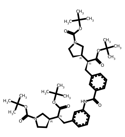 CC(C)(C)OC(=O)[C@@H](Cc1cccc(NC(=O)c2cccc(C[C@H](C(=O)OC(C)(C)C)[C@H]3CCN(C(=O)OC(C)(C)C)C3)c2)c1)[C@H]1CCN(C(=O)OC(C)(C)C)C1